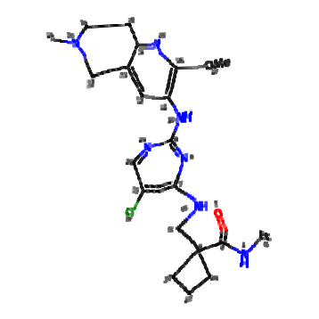 CCNC(=O)C1(CNc2nc(Nc3cc4c(nc3OC)CCN(C)C4)ncc2Cl)CCC1